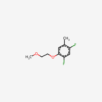 COCCOc1cc(C)c(F)cc1F